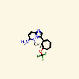 CN1C(N)C=Cc2ncc(C3=CC=CCC(OC(F)(F)F)=C3)n21